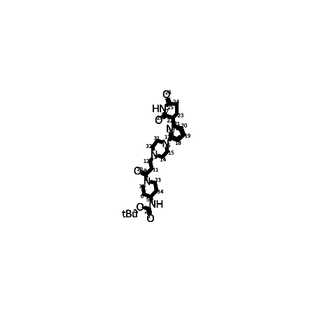 CC(C)(C)OC(=O)NC1CCN(C(=O)CCN2CCN(c3cccc(C4CCC(=O)NC4=O)n3)CC2)CC1